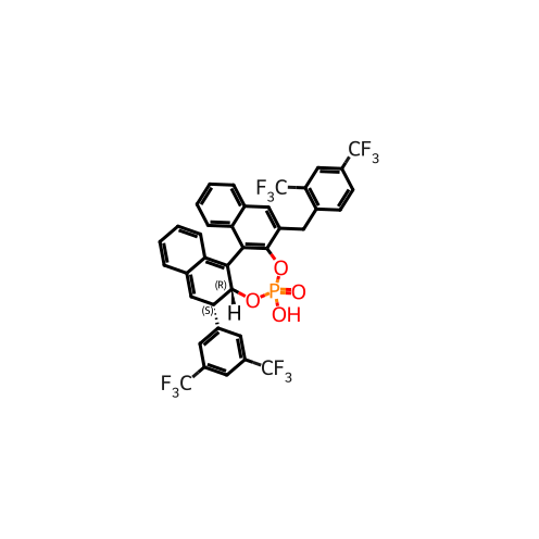 O=P1(O)Oc2c(Cc3ccc(C(F)(F)F)cc3C(F)(F)F)cc3ccccc3c2C2=c3ccccc3=C[C@@H](c3cc(C(F)(F)F)cc(C(F)(F)F)c3)[C@H]2O1